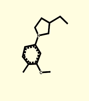 CCC1CCN(c2ccc(C)c(OC)c2)C1